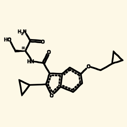 NC(=O)[C@H](CO)NC(=O)c1c(C2CC2)oc2ccc(OCC3CC3)cc12